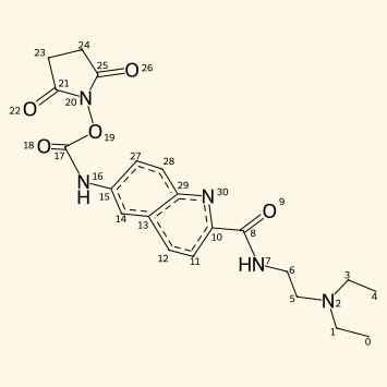 CCN(CC)CCNC(=O)c1ccc2cc(NC(=O)ON3C(=O)CCC3=O)ccc2n1